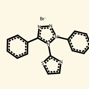 [Br-].c1ccc(-c2nn[n+](-c3ccccc3)n2-c2nccs2)cc1